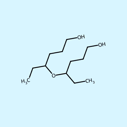 CCC(CCCO)OC(CC)CCCO